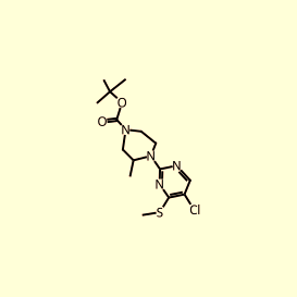 CSc1nc(N2CCN(C(=O)OC(C)(C)C)CC2C)ncc1Cl